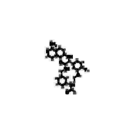 CCOc1cc(C(Nc2ccc3c(N)nccc3c2)C(=O)NCc2cccc(NC(C)=O)c2)ccc1F